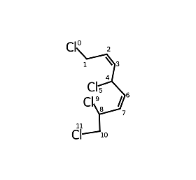 ClC/C=C\C(Cl)/C=C\C(Cl)CCl